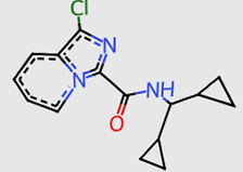 O=C(NC(C1CC1)C1CC1)c1nc(Cl)c2ccccn12